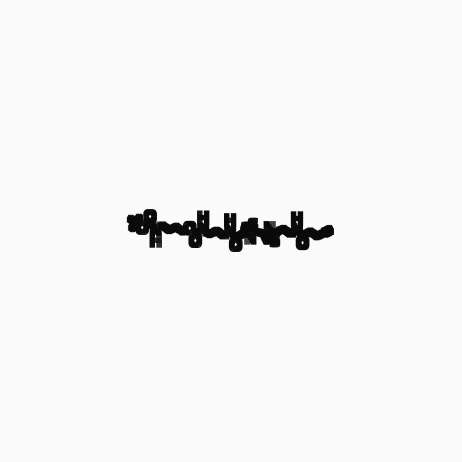 C#CCCC(=O)NCCc1nc(-c2nc(C(=O)NCCCNC(=O)OCCCCNC(=O)OC(C)(C)C)cs2)cs1